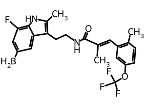 Bc1cc(F)c2[nH]c(C)c(CCNC(=O)/C(C)=C/c3cc(OC(F)(F)F)ccc3C)c2c1